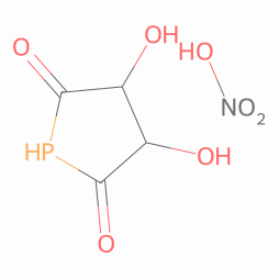 O=C1PC(=O)C(O)C1O.O=[N+]([O-])O